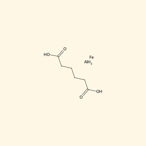 O=C(O)CCCCC(=O)O.[AlH3].[Fe]